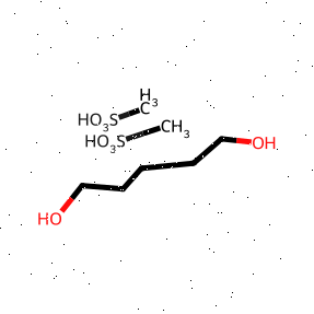 CS(=O)(=O)O.CS(=O)(=O)O.OCCCCCO